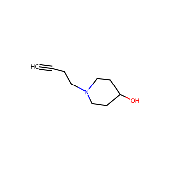 C#CCCN1CCC(O)CC1